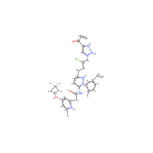 CNC(=O)c1cn(C[C@H](F)CCc2ccc(NC(=O)Cc3cc(OC4CC(F)(F)C4)cc(C)n3)nn2)nn1.Cc1ccc(S(=O)(=O)O)cc1